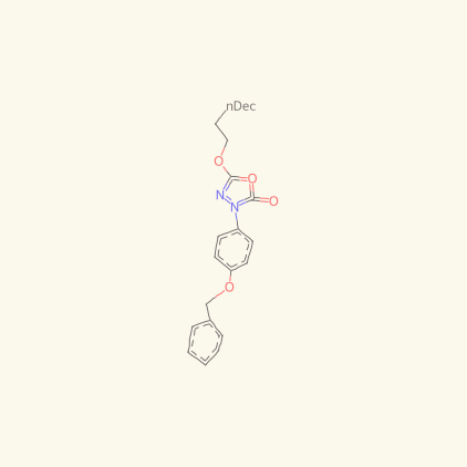 CCCCCCCCCCCCOc1nn(-c2ccc(OCc3ccccc3)cc2)c(=O)o1